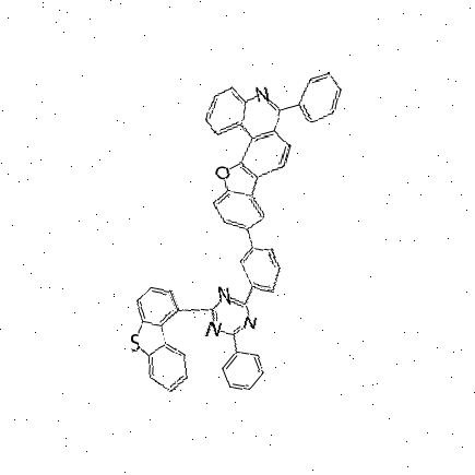 c1ccc(-c2nc(-c3cccc(-c4ccc5oc6c(ccc7c(-c8ccccc8)nc8ccccc8c76)c5c4)c3)nc(-c3cccc4sc5ccccc5c34)n2)cc1